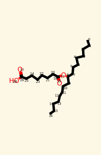 CCCCCCCCC(CCCCCCCC)OC(=O)CCCCCCC(=O)O